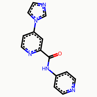 O=C(Nc1ccncc1)c1cc(-n2ccnc2)ccn1